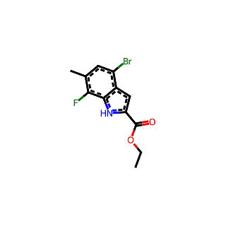 CCOC(=O)c1cc2c(Br)cc(C)c(F)c2[nH]1